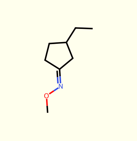 CCC1CC/C(=N\OC)C1